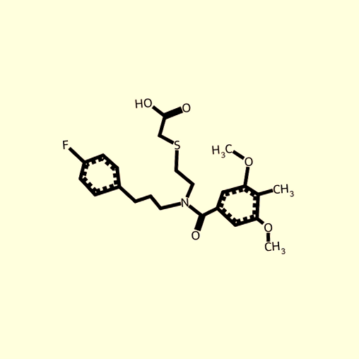 COc1cc(C(=O)N(CCCc2ccc(F)cc2)CCSCC(=O)O)cc(OC)c1C